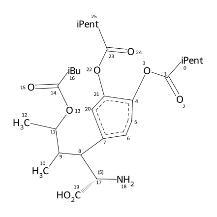 CCCC(C)C(=O)Oc1ccc(C(C(C)C(C)OC(=O)C(C)CC)[C@H](N)C(=O)O)cc1OC(=O)C(C)CCC